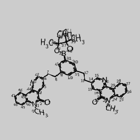 Cn1c(=O)c2cc(CCc3cc(CCc4cnc5c(c4)c(=O)n(C)c4ccccc54)cc(B4OC(C)(C)C(C)(C)O4)c3)cnc2c2ccccc21